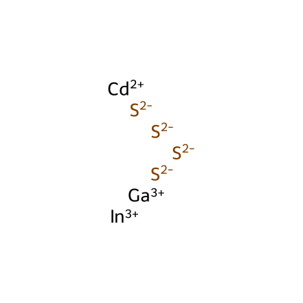 [Cd+2].[Ga+3].[In+3].[S-2].[S-2].[S-2].[S-2]